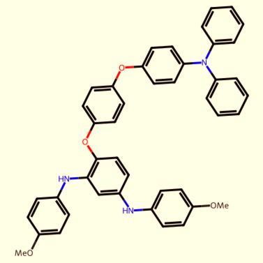 COc1ccc(Nc2ccc(Oc3ccc(Oc4ccc(N(c5ccccc5)c5ccccc5)cc4)cc3)c(Nc3ccc(OC)cc3)c2)cc1